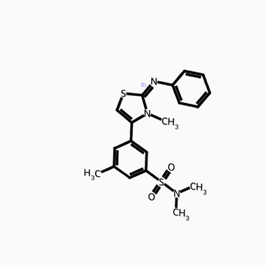 Cc1cc(-c2cs/c(=N/c3ccccc3)n2C)cc(S(=O)(=O)N(C)C)c1